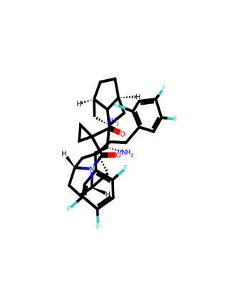 N[C@H](Cc1cc(F)c(F)cc1F)[C@@H]1C[C@H]2CC[C@@H](C1)C2C(=O)C1(C(=O)N2[C@@H]3CC[C@H]2C[C@@H]([C@H](N)Cc2cc(F)c(F)cc2F)C3)CC1